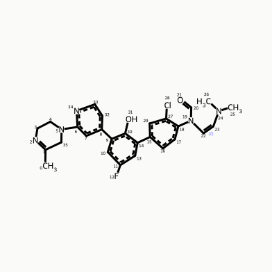 CC1=NCCN(c2cc(-c3cc(F)cc(-c4ccc(N(C=O)/C=C\N(C)C)c(Cl)c4)c3O)ccn2)C1